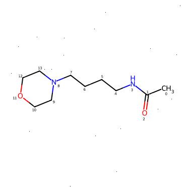 CC(=O)NCCCCN1CCOCC1